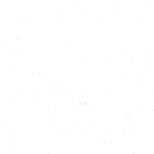 CCCCc1ccccc1.CS(N)(=O)=O